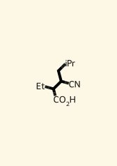 CCC(C(=O)O)C(C#N)CC(C)C